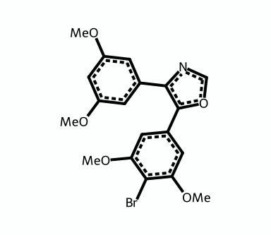 COc1cc(OC)cc(-c2ncoc2-c2cc(OC)c(Br)c(OC)c2)c1